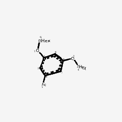 CCCCCCOc1cc(OCCCCCC)cc(C(C)=O)c1